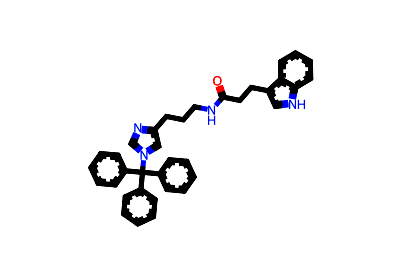 O=C(CCc1c[nH]c2ccccc12)NCCCc1cn(C(c2ccccc2)(c2ccccc2)c2ccccc2)cn1